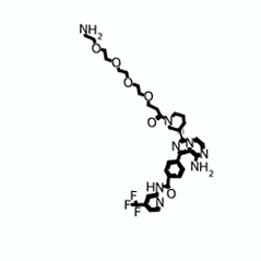 NCCOCCOCCOCCOCCC(=O)N1CCC[C@@H](c2nc(-c3ccc(C(=O)Nc4cc(C(F)(F)F)ccn4)cc3)c3c(N)nccn23)C1